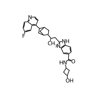 CC(Cc1nc2cc(C(=O)NC3CC(O)C3)ccc2[nH]1)C1CC2CC1CC2c1ccnc2ccc(F)cc12